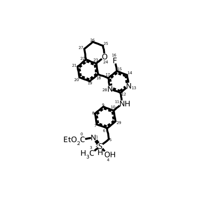 CCOC(=O)N=[SH](C)(O)Cc1cccc(Nc2ncc(F)c(-c3cccc4c3OCCC4)n2)c1